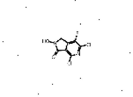 O=C1c2c(Cl)nc(Cl)c(F)c2CN1O